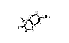 CN1C(=O)CCc2cc(O)ccc21